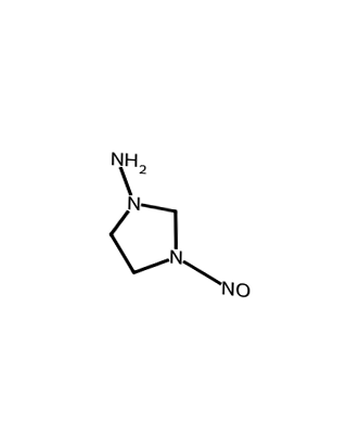 NN1CCN(N=O)C1